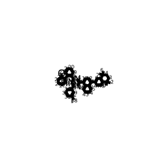 CC1(C)CCC(C)(C)c2cc(-c3ccc(C4=NC(c5cccc6oc7ccccc7c56)NC(c5cccc(F)c5)=N4)c4ccccc34)ccc21